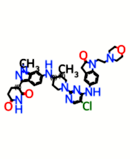 C[C@@H]1CN(c2ncc(Cl)c(Nc3ccc4c(c3)CC(=O)N4CCN3CCOCC3)n2)CC[C@H]1Nc1ccc2c([C@@H]3CCC(=O)NC3=O)nn(C)c2c1